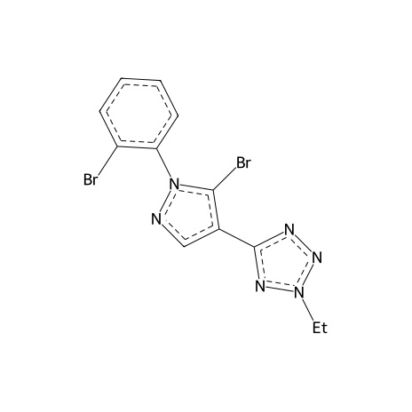 CCn1nnc(-c2cnn(-c3ccccc3Br)c2Br)n1